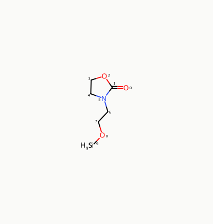 O=C1OCCN1CCO[SiH3]